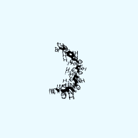 C=C(Br)C(=O)Nc1ccc2[nH]c(C(=O)Nc3c[nH]c(C(=O)Nc4c[nH]c(C(=O)Nc5c[nH]c(C(=O)NCCC#N)c5C)c4C)c3C)c(C)c2c1